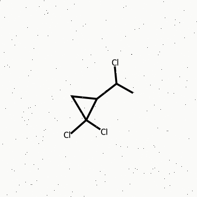 CC(Cl)C1CC1(Cl)Cl